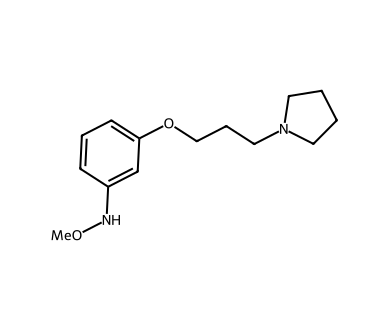 CONc1cccc(OCCCN2CCCC2)c1